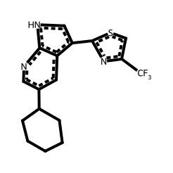 FC(F)(F)c1csc(-c2c[nH]c3ncc(C4CCCCC4)cc23)n1